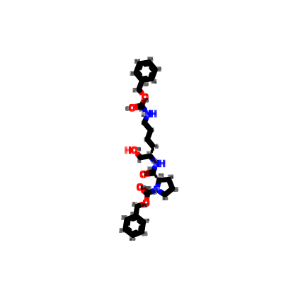 O=C(NCCCC[C@@H](CO)NC(=O)[C@@H]1CCCN1C(=O)OCc1ccccc1)OCc1ccccc1